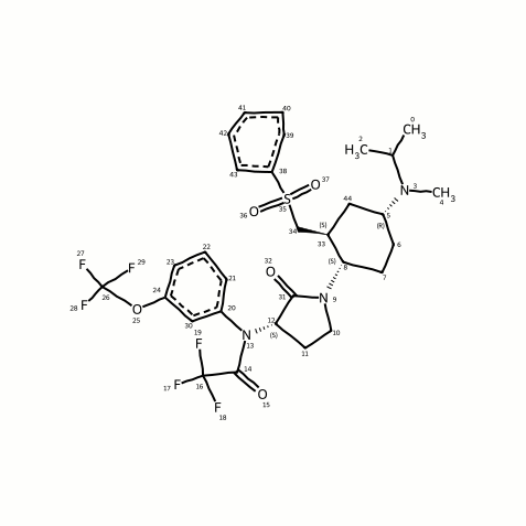 CC(C)N(C)[C@@H]1CC[C@H](N2CC[C@H](N(C(=O)C(F)(F)F)c3cccc(OC(F)(F)F)c3)C2=O)[C@@H](CS(=O)(=O)c2ccccc2)C1